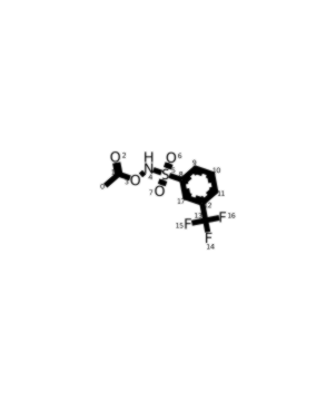 CC(=O)ONS(=O)(=O)c1cccc(C(F)(F)F)c1